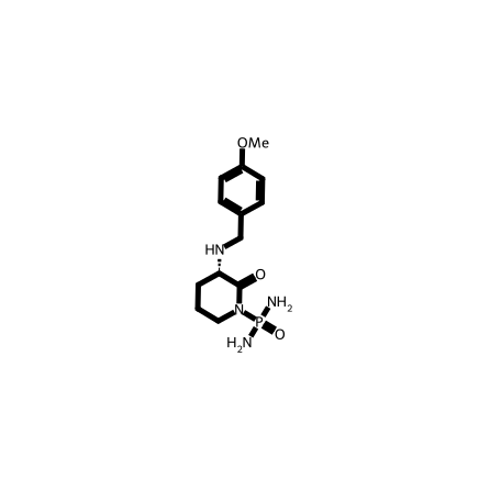 COc1ccc(CN[C@H]2CCCN(P(N)(N)=O)C2=O)cc1